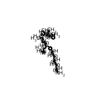 CCCN(C(=O)[C@@H](NC(=O)[C@H]1CCCCN1C)[C@@H](C)CC)[C@H](C[C@@H](OCC)c1nc(C(=O)N[C@@H](Cc2ccc(NC(=O)CNC(=O)CNC(=O)CNC(=O)CNC(=O)CN)cc2)C[C@H](C)c2nnn[nH]2)cs1)C(C)C